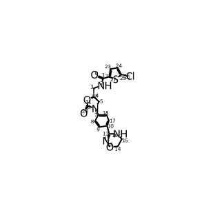 O=C(NC[C@H]1CN(c2ccc(C3=NOCCN3)cc2)C(=O)O1)c1ccc(Cl)s1